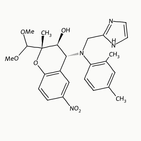 COC(OC)[C@@]1(C)Oc2ccc([N+](=O)[O-])cc2[C@@H](N(Cc2ncc[nH]2)c2ccc(C)cc2C)[C@@H]1O